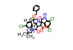 CC(C)(C)CN(C(=O)C1[C@H]2C[C@](C)(OCc3ccccc3)CN2[C@]2(C(=O)Nc3c(Cl)cc(Cl)cc32)[C@H]1C(=O)O)c1cc(Cl)cc(Cl)c1